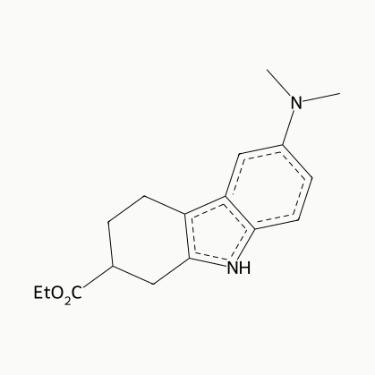 CCOC(=O)C1CCc2c([nH]c3ccc(N(C)C)cc23)C1